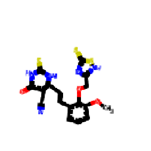 COc1cccc(/C=C/c2[nH]c(=S)[nH]c(=O)c2C#N)c1OCc1nc(=S)s[nH]1